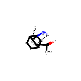 COC(=O)[C@H]1C2CCC(CC2)[C@H]1N